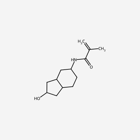 C=C(C)C(=O)NC1CCC2CC(O)CC2C1